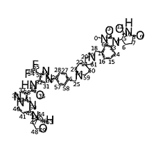 Cn1c(=O)n(C2CCC(=O)NC2=O)c2cccc(CN3CC4(CCN(Cc5ccc(-n6cc(NC(=O)c7cnn8ccc(N9C[C@H]%10CC9CO%10)nc78)c(C(F)F)n6)cc5)CC4)C3)c21